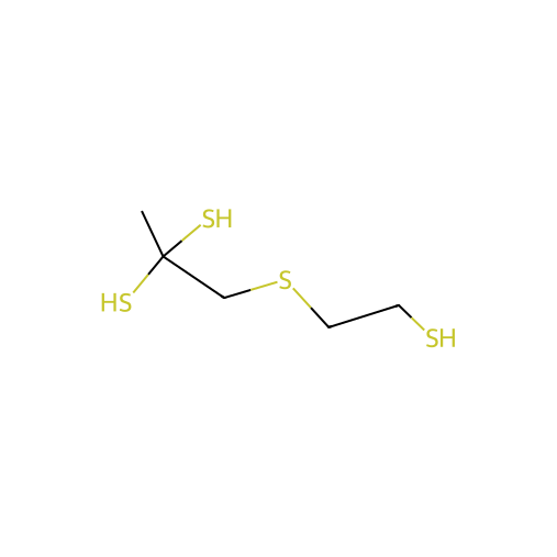 CC(S)(S)CSCCS